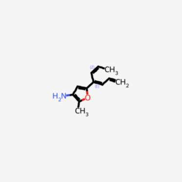 C=C/C=C(\C=C/C)c1cc(N)c(C)o1